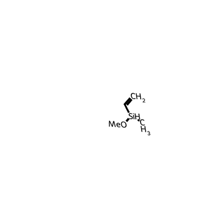 C=C[SiH](C)OC